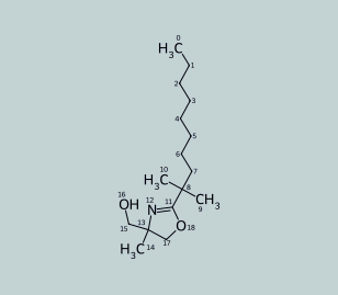 CCCCCCCCC(C)(C)C1=NC(C)(CO)CO1